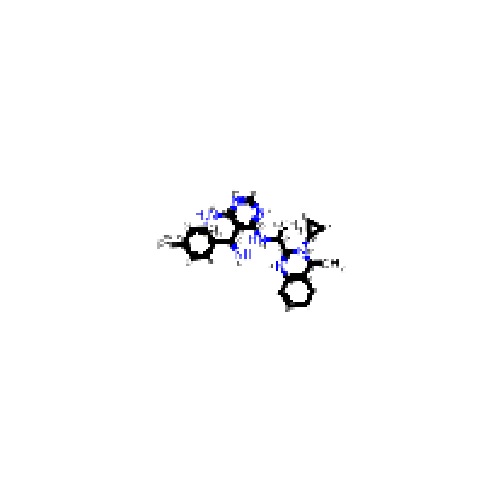 C=C1C2=C(C=CCC2)N=C(C(C)Nc2ncnc(N)c2C(=N)c2ccc(CC)cc2)N1C1CC1